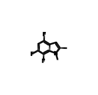 Cc1cc2c(F)cc(F)c(F)c2n1C